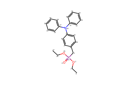 CCOP(=O)(Cc1ccc(N(c2ccccc2)c2ccccc2)cc1)OCC